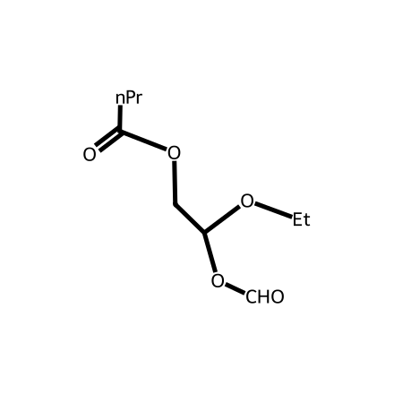 CCCC(=O)OCC(OC=O)OCC